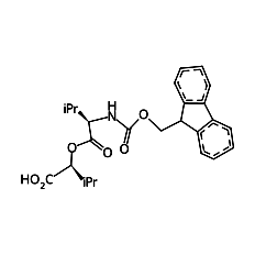 CC(C)[C@H](OC(=O)[C@H](NC(=O)OCC1c2ccccc2-c2ccccc21)C(C)C)C(=O)O